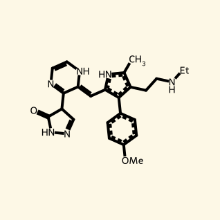 CCNCCc1c(C)[nH]c(C=C2NC=CN=C2C2C=NNC2=O)c1-c1ccc(OC)cc1